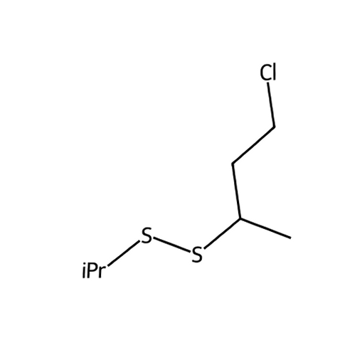 CC(C)SSC(C)CCCl